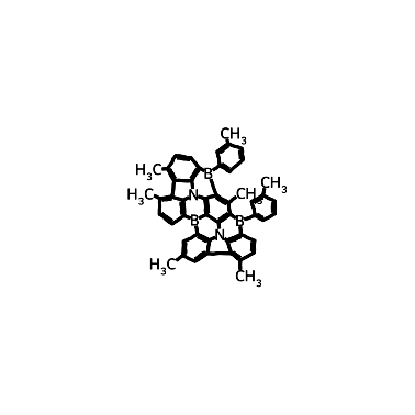 Cc1cccc(B2c3c(C)c4c5c6c3-n3c7c(cc(C)cc7c7c(C)ccc2c73)B6c2ccc(C)c3c6c(C)ccc(c6n-5c23)B4c2cccc(C)c2)c1